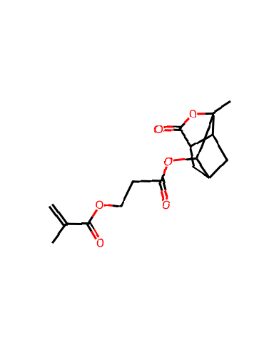 C=C(C)C(=O)OCCC(=O)OC1C2CC3C(=O)OC1(C)C3C2